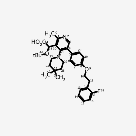 Cc1ncc(-c2ccc(OCCc3ccccc3F)cc2)c(N2CCC(C)(C)CC2)c1C(OC(C)(C)C)C(=O)O